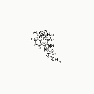 C=C1COC(c2nc(-c3ccc(F)cc3)c(-c3ccnc(S(C)(=O)=O)n3)[nH]2)OC1